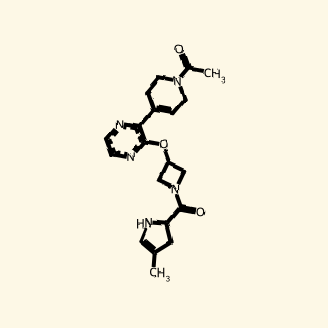 CC(=O)N1CC=C(c2nccnc2OC2CN(C(=O)C3CC(C)=CN3)C2)CC1